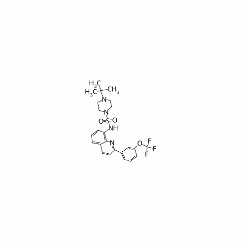 CC(C)(C)N1CCN(S(=O)(=O)Nc2cccc3ccc(-c4cccc(OC(F)(F)F)c4)nc23)CC1